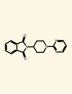 O=C1c2ccccc2C(=O)N1C1CCN(c2ncccn2)CC1